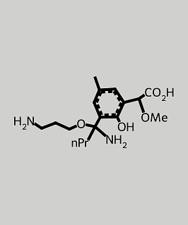 CCCC(N)(OCCCN)c1cc(C)cc(C(OC)C(=O)O)c1O